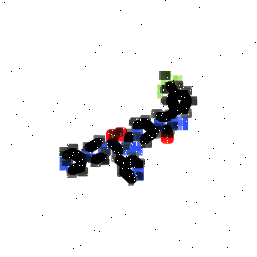 O=C(N[C@H](Cc1ccncc1)C(=O)N1CCN(c2ccncc2)CC1)N1CCC(n2cc(-c3cccc(C(F)(F)F)c3)[nH]c2=O)CC1